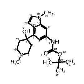 CN1CCC(O)(c2cc(NC(=O)OC(C)(C)C)cc3c2ccn3C)CC1